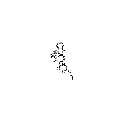 C=CCOC(=O)CN1C(=O)[C@H](C(C)O[Si](C)(C)C(C)(C)C)[C@H]1SC(=S)Oc1ccccc1